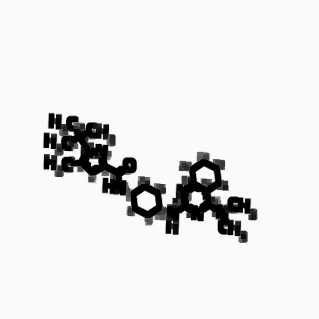 Cc1cc(C(=O)N[C@H]2CC[C@@H](Nc3nc4c(c(N(C)C)n3)CCCC4)CC2)nn1C(C)(C)C